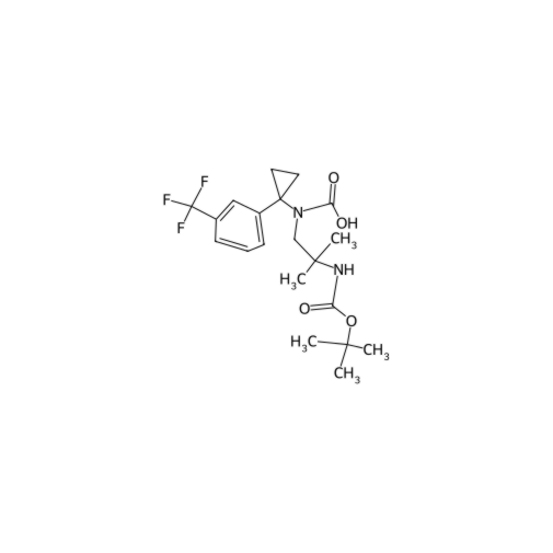 CC(C)(CN(C(=O)O)C1(c2cccc(C(F)(F)F)c2)CC1)NC(=O)OC(C)(C)C